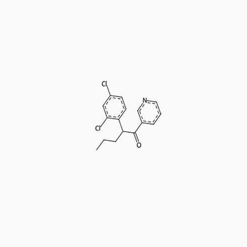 CCCC(C(=O)c1cccnc1)c1ccc(Cl)cc1Cl